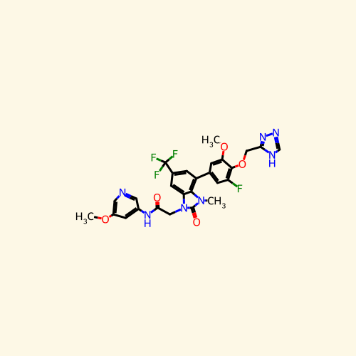 COc1cncc(NC(=O)Cn2c(=O)n(C)c3c(-c4cc(F)c(OCc5nnc[nH]5)c(OC)c4)cc(C(F)(F)F)cc32)c1